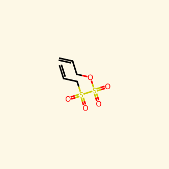 C=CCOS(=O)(=O)S(=O)(=O)CC=C